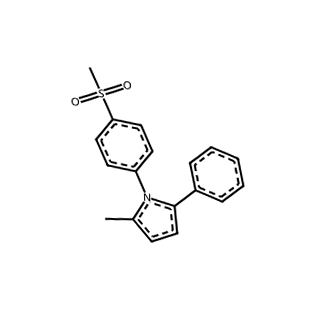 Cc1ccc(-c2ccccc2)n1-c1ccc(S(C)(=O)=O)cc1